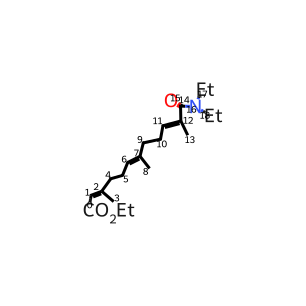 CCOC(=O)/C=C(\C)CC/C=C(\C)CC/C=C(\C)C(=O)N(CC)CC